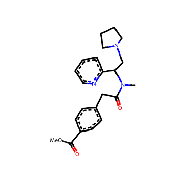 COC(=O)c1ccc(CC(=O)N(C)C(CN2CCCC2)c2ccccn2)cc1